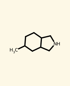 CC1CCC2CNCC2C1